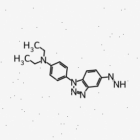 CCN(CC)c1ccc(-n2nnc3cc(N=N)ccc32)cc1